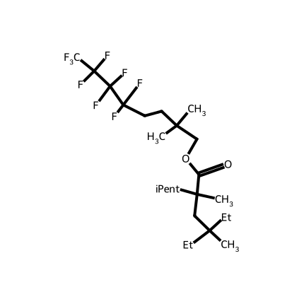 CCCC(C)C(C)(CC(C)(CC)CC)C(=O)OCC(C)(C)CCC(F)(F)C(F)(F)C(F)(F)C(F)(F)F